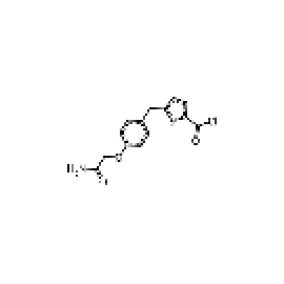 NC(=O)COc1ccc(Cc2ccc(C(=O)Cl)s2)cc1